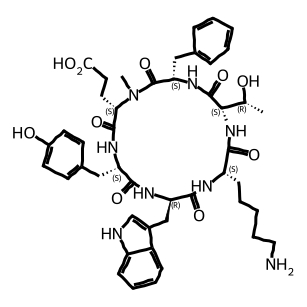 C[C@@H](O)[C@@H]1NC(=O)[C@H](CCCCCN)NC(=O)[C@@H](Cc2c[nH]c3ccccc23)NC(=O)[C@H](Cc2ccc(O)cc2)NC(=O)[C@H](CCC(=O)O)N(C)C(=O)[C@H](Cc2ccccc2)NC1=O